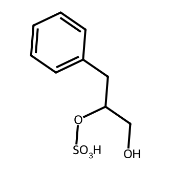 O=S(=O)(O)OC(CO)Cc1ccccc1